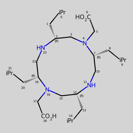 CC(C)C[C@@H]1CN(CC(=O)O)[C@H](CC(C)C)CN[C@H](CC(C)C)CN(CC(=O)O)[C@H](CC(C)C)CN1